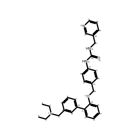 CCN(CC)Cc1cccc(-c2ccccc2OCc2ccc(NC(=O)NCc3cccnc3)cc2)c1